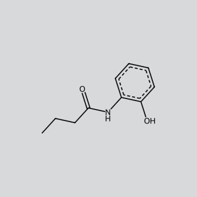 CCCC(=O)Nc1ccccc1O